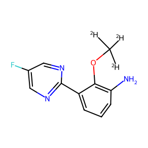 [2H]C([2H])([2H])Oc1c(N)cccc1-c1ncc(F)cn1